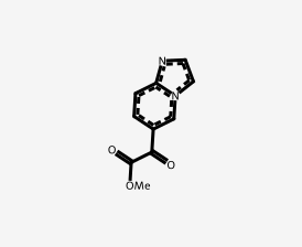 COC(=O)C(=O)c1ccc2nccn2c1